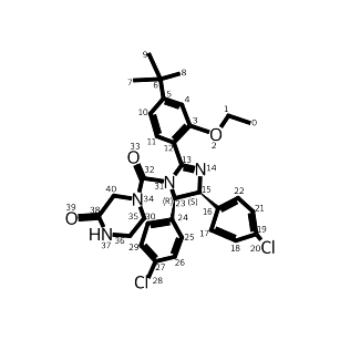 CCOc1cc(C(C)(C)C)ccc1C1=N[C@@H](c2ccc(Cl)cc2)[C@@H](c2ccc(Cl)cc2)N1C(=O)N1CCNC(=O)C1